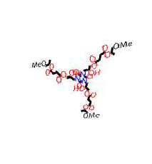 COCC(C)OC(=O)CCC(=O)OCC(O)Cn1c(=O)n(CC(O)COC(=O)CCC(=O)OC(C)COC)c(=O)n(CC(O)COC(=O)CCC(=O)OC(C)COC)c1=O